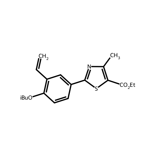 C=Cc1cc(-c2nc(C)c(C(=O)OCC)s2)ccc1OCC(C)C